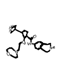 O=C(Nc1ccc2c(c1)CCNCC2)c1ccc(-c2cn[nH]c2)cc1OCCN1CCOCC1